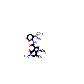 Cc1cn(C)c(=O)c2c(C(=O)N[C@H]3CCCC[C@@H]3N(C(=O)O)C(C)(C)C)cn(C)c12